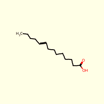 CCCCC=CCCCCCCCC(=O)O